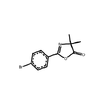 CC1(C)N=C(c2ccc(Br)cc2)OC1=O